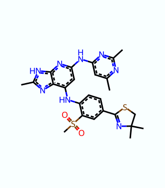 Cc1cc(Nc2cc(Nc3ccc(C4=NC(C)(C)CS4)cc3S(C)(=O)=O)c3nc(C)[nH]c3n2)nc(C)n1